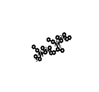 c1ccc(-c2ccc(-c3nc(-c4cc(-c5ccc6ccc7c(c6c5)c5ccccc5n7-c5ccc(-c6nc(-c7ccc(-c8ccccc8)cc7)nc(-c7cccc8sc9ccccc9c78)n6)c6c5oc5ccccc56)cc5c4sc4ccccc45)nc(-c4ccc(-n5c6ccccc6c6c7ccccc7ccc65)c5oc6ccccc6c45)n3)cc2)cc1